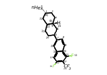 CCCCCC[C@@H]1CC[C@@H]2CC(c3ccc4c(F)c(C(F)(F)F)c(F)cc4c3)CCC2C1